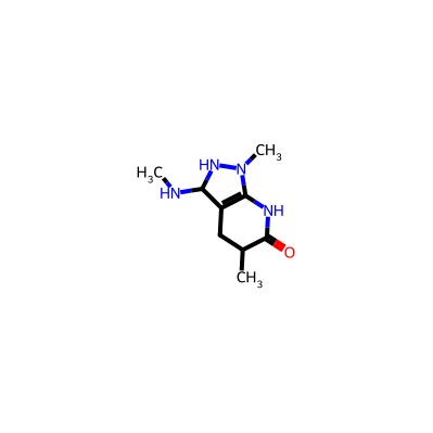 CNC1NN(C)C2=C1CC(C)C(=O)N2